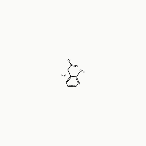 Cc1ncccc1CC([O-])=S.[Na+]